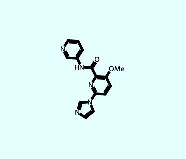 COc1ccc(-n2ccnc2)nc1C(=O)Nc1cccnc1